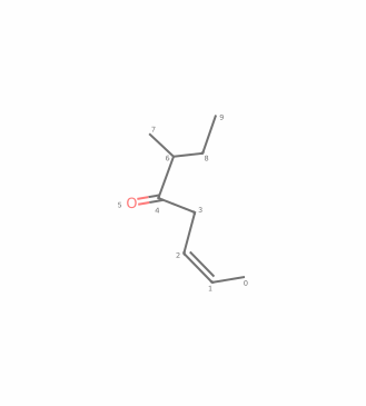 C/C=C\CC(=O)C(C)CC